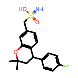 CC1(C)CC(c2ccc(F)cc2)c2ccc(CS(=N)(=O)O)cc2O1